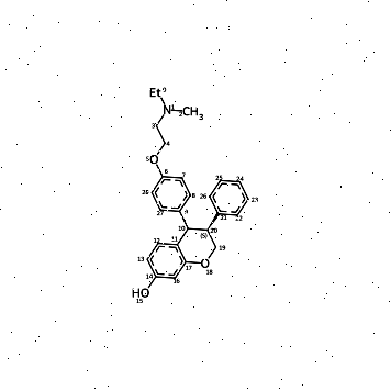 CCN(C)CCOc1ccc(C2c3ccc(O)cc3OC[C@@H]2c2ccccc2)cc1